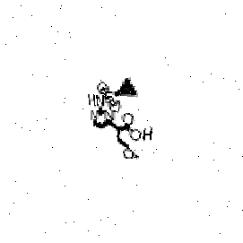 COCCC(C(=O)O)c1ccnc(NS(=O)(=O)C2CC2)n1